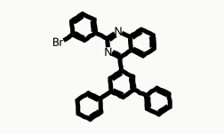 Brc1cccc(-c2nc(-c3cc(C4=CCCC=C4)cc(-c4ccccc4)c3)c3ccccc3n2)c1